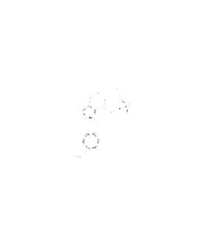 COc1ccc(Cn2nc(C(F)(F)F)c3c2N(CC2C4CC2(C(=O)O)C4)CCC3)cc1